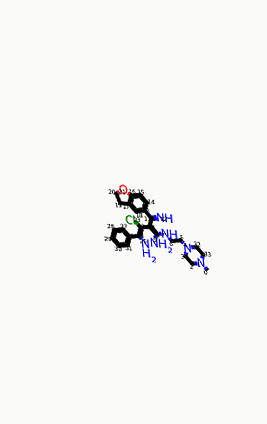 CN1CCN(CCN/C(N)=C(C(=N)c2ccc3c(c2)CCO3)/C(Cl)=C(\N)c2ccccc2)CC1